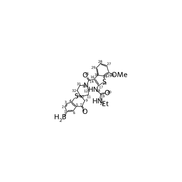 Bc1ccc2c(c1)C(=O)CC1(CCN(C(=O)c3c(NC(=O)NCC)sc4c(OC)cccc34)CC1)S2